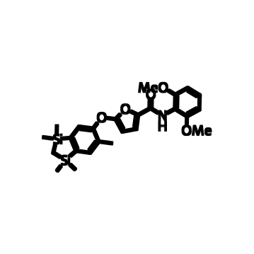 COc1cccc(OC)c1NC(=O)c1ccc(Oc2cc3c(cc2C)[Si](C)(C)C[Si]3(C)C)o1